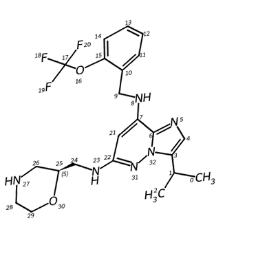 CC(C)c1cnc2c(NCc3ccccc3OC(F)(F)F)cc(NC[C@@H]3CNCCO3)nn12